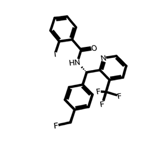 O=C(N[C@@H](c1ccc(CF)cc1)c1ncccc1C(F)(F)F)c1ccccc1I